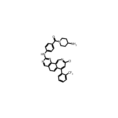 NC1CCN(C(=O)c2ccc(Nc3ncc4c(n3)C3=CN=C(Cl)C=C(c5ccccc5C(F)(F)F)C3=CC4)cc2)CC1